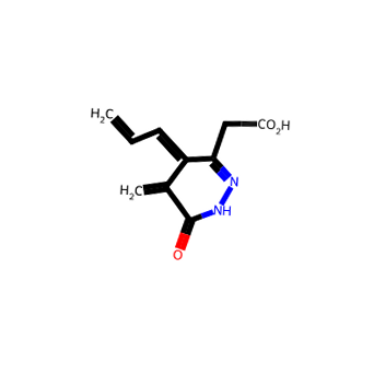 C=C/C=c1/c(CC(=O)O)n[nH]c(=O)c1=C